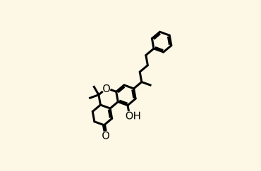 CC(CCCc1ccccc1)c1cc(O)c2c(c1)OC(C)(C)C1CCC(=O)C=C21